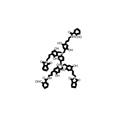 O=Cc1ccccc1C(=O)NC/C=C/c1cc(O)c(CN(Cc2cc(O)c(/C=C/CN3C(=O)c4ccccc4C3=O)cc2O)CC2C=CC(N(Cc3cc(O)c(/C=C/CNC(=O)c4ccccc4C=O)cc3O)Cc3cc(O)c(/C=C/CN4C(=O)c5ccccc5C4=O)cc3O)=CC2)cc1O